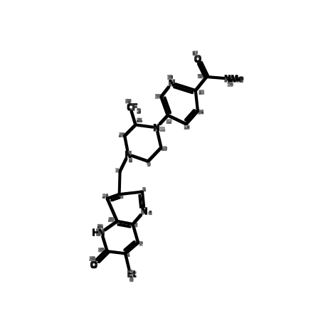 CCc1cc2ncc(CN3CCN(c4ccc(C(=O)NC)nc4)C(C(F)(F)F)C3)cc2[nH]c1=O